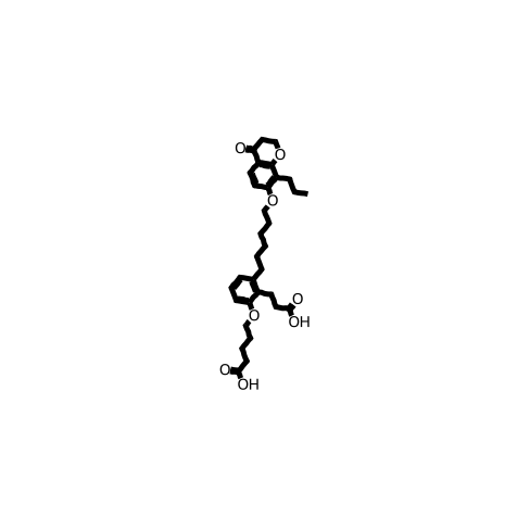 CCCc1c(OCCCCCCc2cccc(OCCCCC(=O)O)c2CCC(=O)O)ccc2c1OCCC2=O